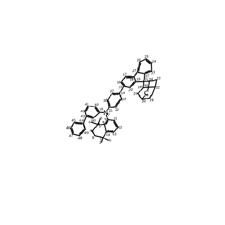 CC1(C)CCC(C)(C)c2c(N(c3ccc(-c4ccc5c(c4)C4(c6ccccc6-5)C5CC6CC7CC4C75C6)cc3)c3cccc(-c4ccccc4)c3)cccc21